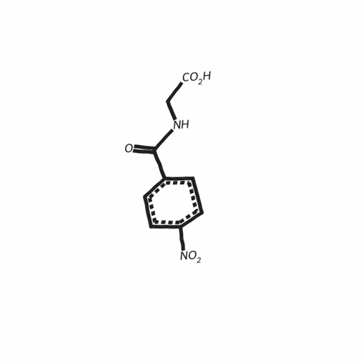 O=C(O)CNC(=O)c1ccc([N+](=O)[O-])cc1